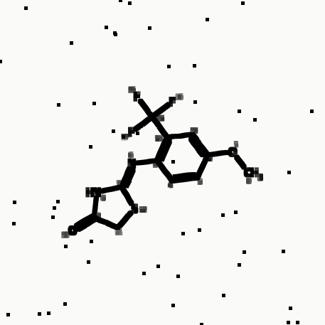 COc1ccc(/N=C2/NC(=O)CS2)c(C(F)(F)F)c1